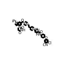 CC(C)n1ccc2c(N3CCC(=O)NC3=O)cc(C(=O)N3CCN(CCC4CCN(c5ccc(C(=O)N[C@H]6CC[C@H](Oc7ccc(C#N)c(Cl)c7)CC6)nn5)CC4)CC3)cc21